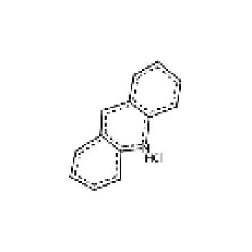 Cl.c1ccc2nc3ccccc3cc2c1